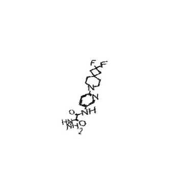 NNC(=O)C(=O)Nc1ccc(N2CCC3(CC2)CC(F)(F)C3)nc1